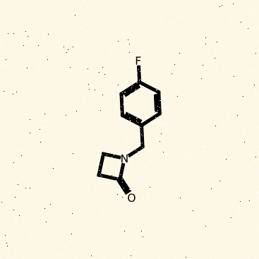 O=C1CCN1Cc1ccc(F)cc1